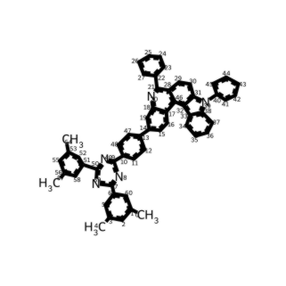 Cc1cc(C)cc(-c2nc(-c3ccc(-c4ccc5c(c4)nc(-c4ccccc4)c4ccc6c(c7ccccc7n6-c6ccccc6)c45)cc3)nc(-c3cc(C)cc(C)c3)n2)c1